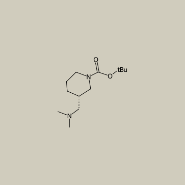 CN(C)C[C@@H]1CCCN(C(=O)OC(C)(C)C)C1